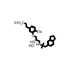 CCOC(=O)CCc1ccc(C#N)c(OC[C@@H](O)CNC(C)(C)Cc2ccc3c(c2)CCC3)c1.Cl